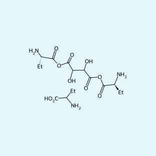 CCC(N)C(=O)O.CC[C@H](N)C(=O)OC(=O)C(O)C(O)C(=O)OC(=O)[C@@H](N)CC